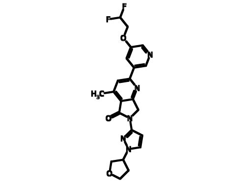 Cc1cc(-c2cncc(OCC(F)F)c2)nc2c1C(=O)N(c1ccn(C3CCOC3)n1)C2